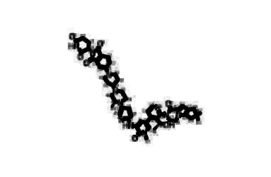 C[C@H](O)c1c(-c2cc(Nc3ccc(N4CCN(C5CCN(c6ccc7c(c6)C(=O)N(C6CCC(=O)NC6=O)C7=O)CC5)C[C@@H]4C)cn3)c(=O)n(C)c2)ccnc1N1CCn2c(cc3c2CC(C)(C)C3)C1=O